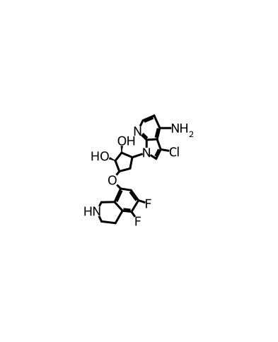 Nc1ccnc2c1c(Cl)cn2C1CC(Oc2cc(F)c(F)c3c2CNCC3)[C@@H](O)[C@H]1O